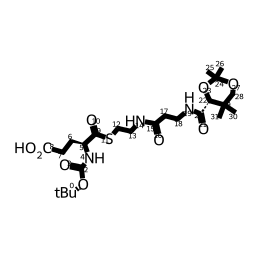 CC(C)(C)OC(=O)N[C@@H](CCC(=O)O)C(=O)SCCNC(=O)CCNC(=O)[C@@H]1OC(C)(C)OCC1(C)C